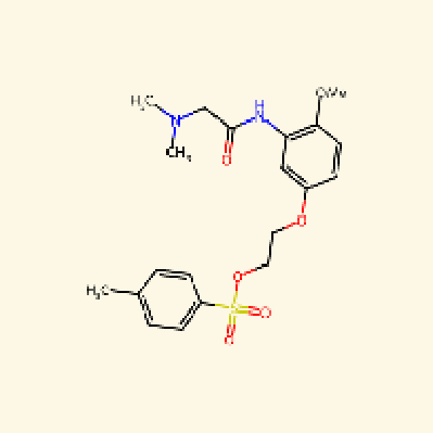 COc1ccc(OCCOS(=O)(=O)c2ccc(C)cc2)cc1NC(=O)CN(C)C